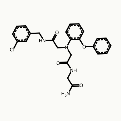 NC(=O)CNC(=O)CN(CC(=O)NCc1cccc(Cl)c1)c1ccccc1Oc1ccccc1